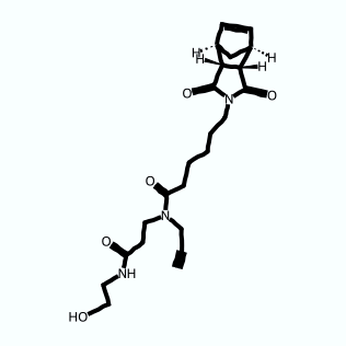 C#CCN(CCC(=O)NCCO)C(=O)CCCCCN1C(=O)[C@@H]2[C@H](C1=O)[C@H]1C=C[C@@H]2C1